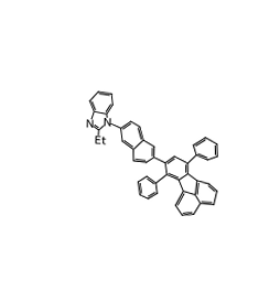 CCc1nc2ccccc2n1-c1ccc2cc(-c3cc(-c4ccccc4)c4c(c3-c3ccccc3)-c3cccc5cccc-4c35)ccc2c1